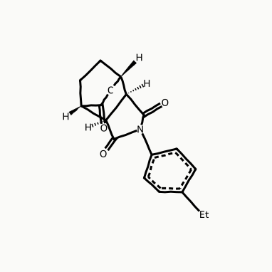 CCc1ccc(N2C(=O)[C@@H]3[C@H]4CC[C@H](C(=O)C4)[C@@H]3C2=O)cc1